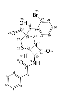 O=C(Cc1ccccc1)N[C@@H]1C(=O)N2CC(Sc3ccccc3Br)(C(=O)O)CS[C@H]12